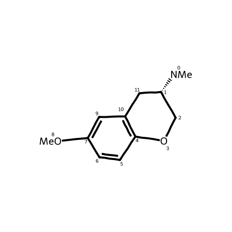 CN[C@@H]1COc2ccc(OC)cc2C1